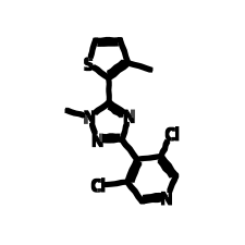 Cc1ccsc1-c1nc(-c2c(Cl)cncc2Cl)nn1C